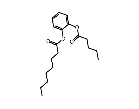 CCCCCCCC(=O)Oc1ccccc1OC(=O)CCCC